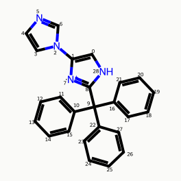 C1=C(n2ccnc2)[N+]=C(C(c2ccccc2)(c2ccccc2)c2ccccc2)N1